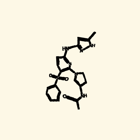 CC(=O)NC1CCN(c2nc(Nc3cc(C)[nH]n3)ccc2S(=O)(=O)c2ccccc2)C1